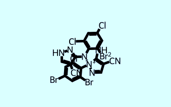 N#CC1=C(N)[N+](c2c(Cl)cc(Br)cc2Br)(N(c2n[nH]cc2C#N)c2c(Cl)cc(Cl)cc2Br)N=C1